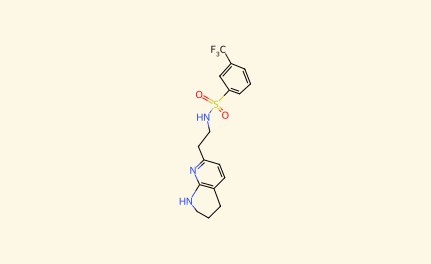 O=S(=O)(NCCc1ccc2c(n1)NCCC2)c1cccc(C(F)(F)F)c1